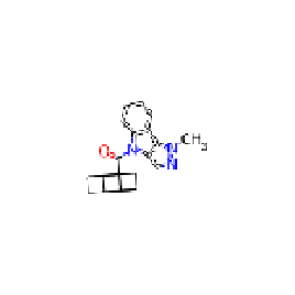 Cn1ncc2c1c1ccccc1n2C(=O)C12C3C4C5C3C1C5C42